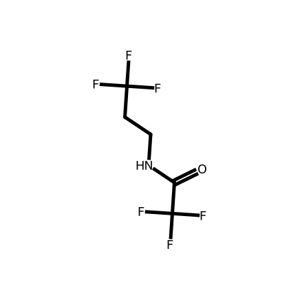 O=C(NCCC(F)(F)F)C(F)(F)F